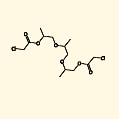 CC(COC(=O)CCl)OCC(C)OCC(C)OC(=O)CCl